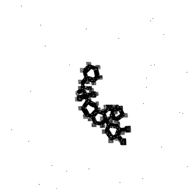 CC(=O)N[C@@H]1c2cc(S(=O)(=O)[N+](C)(C)Cc3ccccc3)ccc2CC[C@@]1(c1ccc(Cl)c(Cl)c1)N1CCCC1